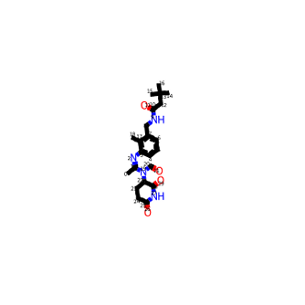 C/C(=N/c1cccc(CNC(=O)CC(C)(C)C)c1C)N(C=O)C1CCC(=O)NC1=O